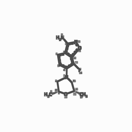 C[C@@H]1CN(c2[c]cc3c(N)noc3c2F)C[C@H](C)O1